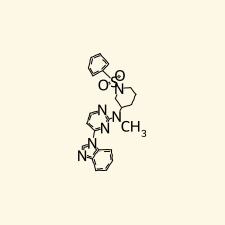 CN(c1nccc(-n2cnc3ccccc32)n1)C1CCCN(S(=O)(=O)c2ccccc2)C1